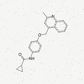 Cc1cc(COc2ccc(NC(=O)C3CC3)cc2)c2ccccc2n1